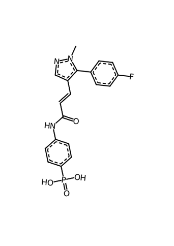 Cn1ncc(C=CC(=O)Nc2ccc(P(=O)(O)O)cc2)c1-c1ccc(F)cc1